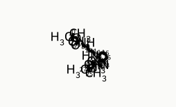 CC(C)(C)OC(=O)NCCCCNC1CCCc2ncn(C(=O)OC(C)(C)C)c21